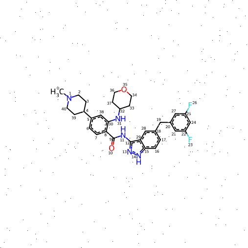 CN1CCC(c2ccc(C(=O)Nc3n[nH]c4ccc(Cc5cc(F)cc(F)c5)cc34)c(NC3CCOCC3)c2)CC1